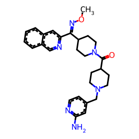 CON=C(c1cc2ccccc2cn1)C1CCN(C(=O)C2CCN(Cc3ccnc(N)c3)CC2)CC1